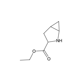 CCOC(=O)C1CC2CC2N1